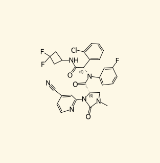 CN1C[C@@H](C(=O)N(c2cccc(F)c2)[C@H](C(=O)NC2CC(F)(F)C2)c2ccccc2Cl)N(c2cc(C#N)ccn2)C1=O